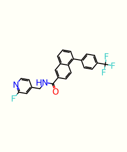 O=C(NCc1ccnc(F)c1)c1ccc2c(-c3ccc(C(F)(F)F)cc3)cccc2c1